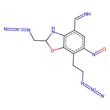 [N-]=[N+]=NCCc1c(N=O)cc(C=N)c2c1OC(CN=[N+]=[N-])N2